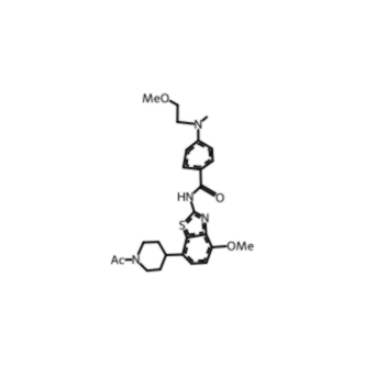 COCCN(C)c1ccc(C(=O)Nc2nc3c(OC)ccc(C4CCN(C(C)=O)CC4)c3s2)cc1